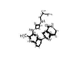 Cc1nc2cccc(-c3cc4c([nH]3)CCNC4=O)c2nc1N[C@H]1C[C@H](NCC(F)F)C1